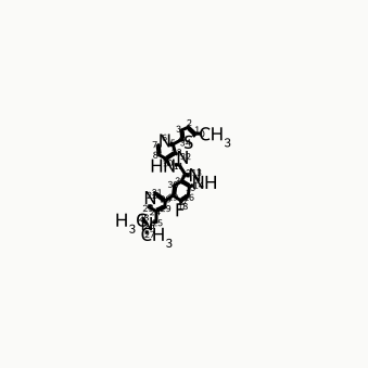 Cc1ccc(-c2nccc3[nH]c(-c4n[nH]c5cc(F)c(-c6cncc(CN(C)C)c6)cc45)nc23)s1